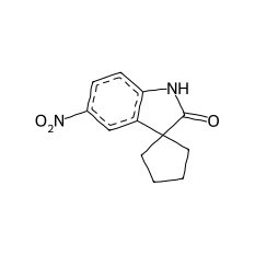 O=C1Nc2ccc([N+](=O)[O-])cc2C12CCCC2